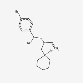 C=CN(CC(C#N)c1ccc(Br)cc1)CC1(CC)CCCCC1